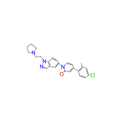 Cc1cc(Cl)ccc1-c1ccn(-c2ccc3c(cnn3CCN3CCCC3)c2)c(=O)c1